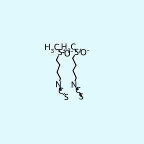 C[S+]([O-])CCCCN=C=S.C[S+]([O-])CCCCN=C=S